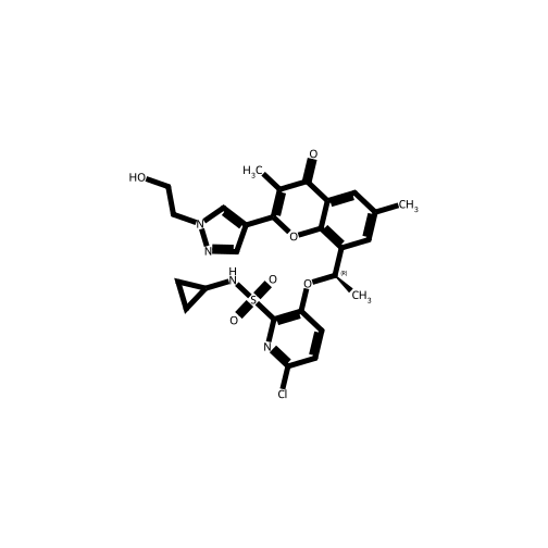 Cc1cc([C@@H](C)Oc2ccc(Cl)nc2S(=O)(=O)NC2CC2)c2oc(-c3cnn(CCO)c3)c(C)c(=O)c2c1